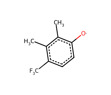 Cc1c([O])ccc(C(F)(F)F)c1C